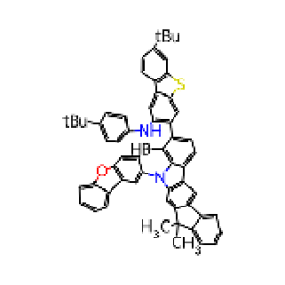 CC(C)(C)c1ccc(Nc2cc3c(cc2-c2ccc4c5cc6c(cc5n5c4c2Bc2cc4oc7ccccc7c4cc2-5)C(C)(C)c2ccccc2-6)sc2cc(C(C)(C)C)ccc23)cc1